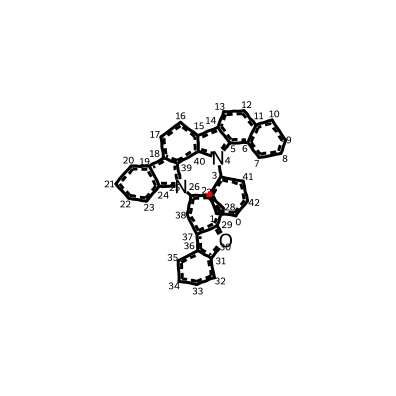 c1ccc(-n2c3c4ccccc4ccc3c3ccc4c5ccccc5n(-c5ccc6oc7ccccc7c6c5)c4c32)cc1